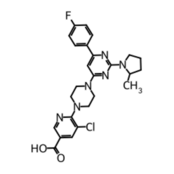 CC1CCCN1c1nc(-c2ccc(F)cc2)cc(N2CCN(c3ncc(C(=O)O)cc3Cl)CC2)n1